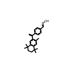 C=C(c1ccc(/C=N/O)cc1)c1cc2c(cc1C)C(C)(C)CCC2(C)C